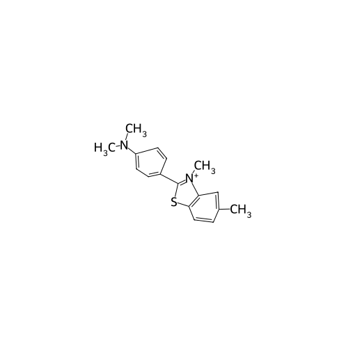 Cc1ccc2sc(-c3ccc(N(C)C)cc3)[n+](C)c2c1